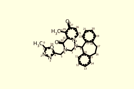 Cc1nnc(CN2CN(C3c4ccccc4CCc4ccccc43)n3ccc(=O)c(C)c3C2=O)o1